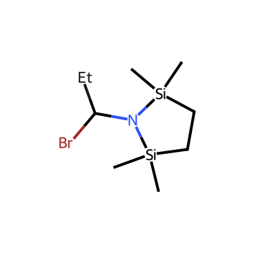 CCC(Br)N1[Si](C)(C)CC[Si]1(C)C